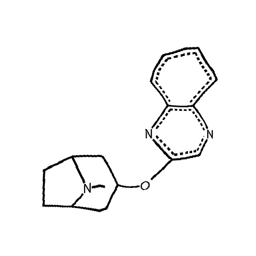 CN1C2CCC1CC(Oc1cnc3ccccc3n1)C2